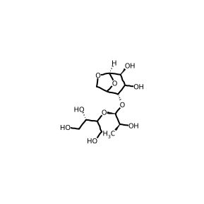 C[C@H](O)[C@@H](OC(CO)[C@@H](O)CO)O[C@@H]1C2CO[C@H](O2)[C@@H](O)C1O